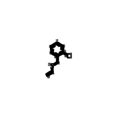 C=CSCc1ccccc1Cl